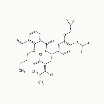 C=C/C(Cl)=C(C[C@H](OC(=O)c1cccc(C=O)c1OCCCC)c1ccc(OC(F)F)c(OCC2CC2)c1)\C(Cl)=C/C